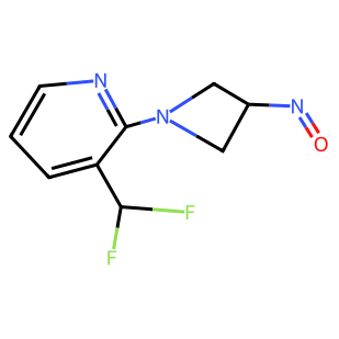 O=NC1CN(c2ncccc2C(F)F)C1